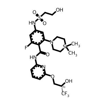 C[Si]1(C)CCN(c2cc(NS(=O)(=O)CCO)cc(F)c2C(=O)Nc2cccc(OC[C@H](O)C(F)(F)F)n2)CC1